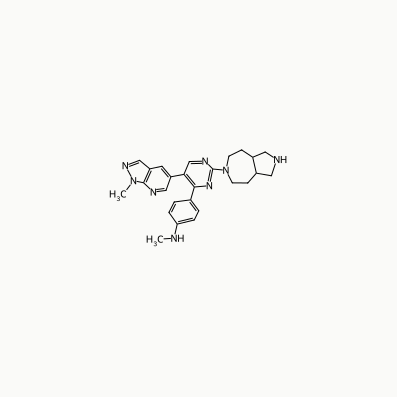 CNc1ccc(-c2nc(N3CCC4CNCC4CC3)ncc2-c2cnc3c(cnn3C)c2)cc1